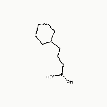 OB(O)OCCC1CCCCC1